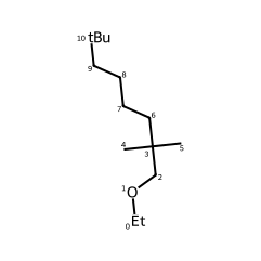 CCOCC(C)(C)CCCCC(C)(C)C